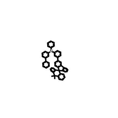 CC1(C)c2ccccc2C2(c3ccccc3-c3cc(-c4cccc(N(c5ccccc5)c5cccc(-c6ccccc6)c5)c4)ccc32)c2ccccc21